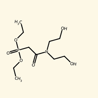 CCOP(=O)(CC(=O)N(CCO)CCO)OCC